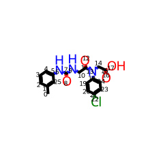 Cc1cccc(NC(=O)NCC(=O)N(CC(=O)O)c2ccc(Cl)cc2)c1